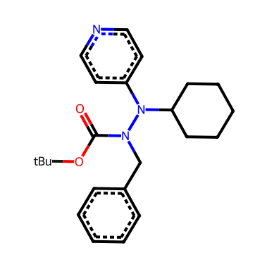 CC(C)(C)OC(=O)N(Cc1ccccc1)N(c1ccncc1)C1CCCCC1